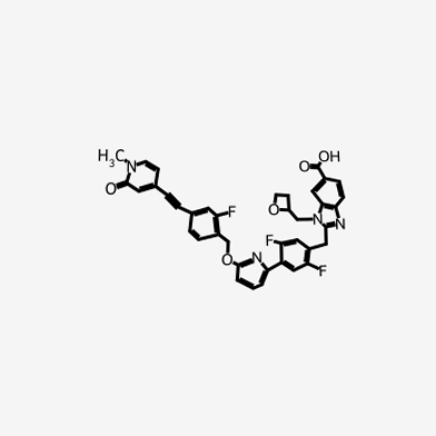 Cn1ccc(C#Cc2ccc(COc3cccc(-c4cc(F)c(Cc5nc6ccc(C(=O)O)cc6n5CC5CCO5)cc4F)n3)c(F)c2)cc1=O